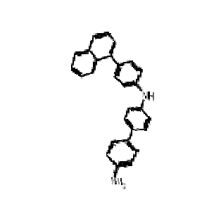 Nc1ccc(-c2ccc(Nc3ccc(-c4cccc5ccccc45)cc3)cc2)cc1